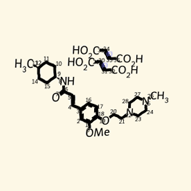 COc1cc(C=CC(=O)N[C@H]2CC[C@H](C)CC2)ccc1OCCN1CCN(C)CC1.O=C(O)/C=C/C(=O)O.O=C(O)/C=C/C(=O)O